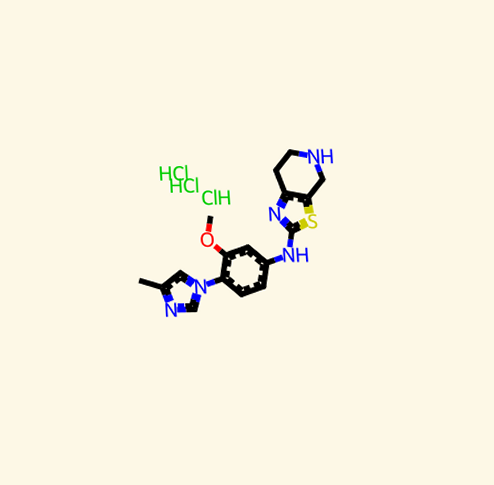 COc1cc(Nc2nc3c(s2)CNCC3)ccc1-n1cnc(C)c1.Cl.Cl.Cl